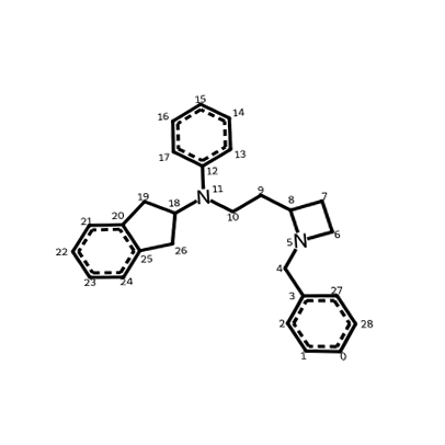 c1ccc(CN2CCC2CCN(c2ccccc2)C2Cc3ccccc3C2)cc1